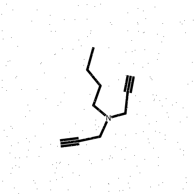 C#CCN(CC#C)CCCC